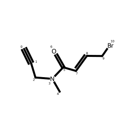 C#CCN(C)C(=O)C=CCBr